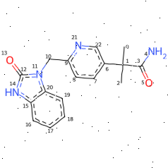 CC(C)(C(N)=O)c1ccc(Cn2c(=O)[nH]c3ccccc32)nc1